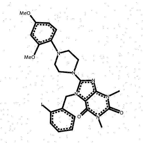 COc1ccc(N2CCN(c3nc4c(c(=O)n(C)c(=O)n4C)n3Cc3ccccc3I)CC2)c(OC)c1